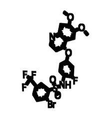 COc1cc2nccc(Oc3ccc(NS(=O)(=O)c4cc(C(F)(F)F)ccc4Br)c(F)c3)c2cc1OC